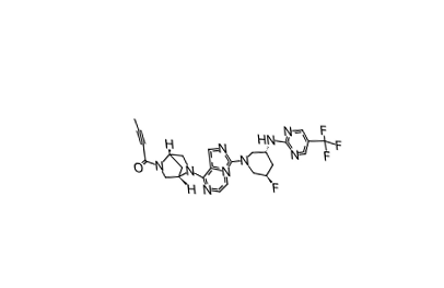 CC#CC(=O)N1C[C@@H]2C[C@H]1CN2c1nccn2c(N3C[C@H](F)C[C@@H](Nc4ncc(C(F)(F)F)cn4)C3)ncc12